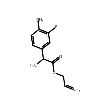 C=CCOC(=O)C(C)c1ccc(N)c(F)c1